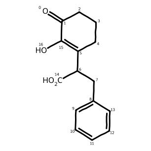 O=C1CCCC(C(Cc2ccccc2)C(=O)O)=C1O